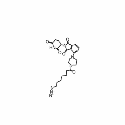 [N-]=[N+]=NCCCCCCC(=O)N1CCN(c2cccc3c2C(=O)N(C2CCC(=O)NC2=O)C3=O)CC1